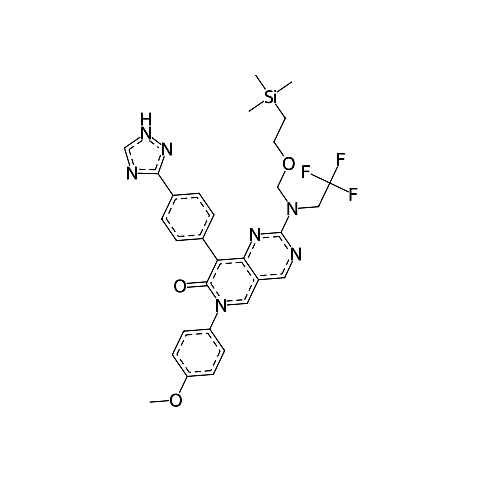 COc1ccc(-n2cc3cnc(N(COCC[Si](C)(C)C)CC(F)(F)F)nc3c(-c3ccc(-c4nc[nH]n4)cc3)c2=O)cc1